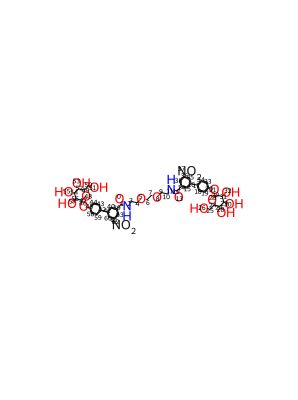 O=C(NCCOCCOCCNC(=O)c1cc(-c2ccc(OC3OC(CO)C(O)C(O)C3O)cc2)cc([N+](=O)[O-])c1)c1cc(-c2ccc(OC3OC(CO)C(O)C(O)C3O)cc2)cc([N+](=O)[O-])c1